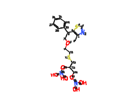 Cc1ncsc1C(COCCSCC(CON(O)O)ON(O)O)c1ccccc1